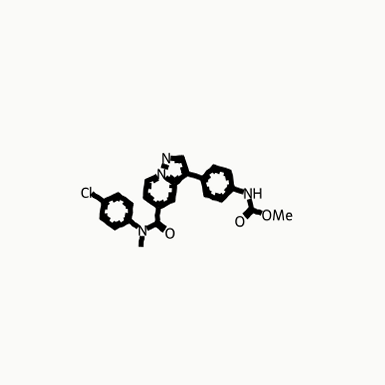 COC(=O)Nc1ccc(-c2cnn3ccc(C(=O)N(C)c4ccc(Cl)cc4)cc23)cc1